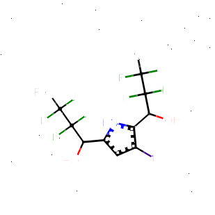 OC(c1cc(I)c(C(O)C(F)(F)C(F)(F)C(F)(F)F)[nH]1)C(F)(F)C(F)(F)C(F)(F)F